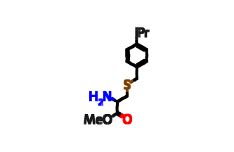 COC(=O)[C@@H](N)CSCc1ccc(C(C)C)cc1